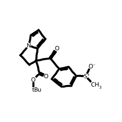 C[S+]([O-])c1cccc(C(=O)C2(C(=O)OC(C)(C)C)CCn3cccc32)c1